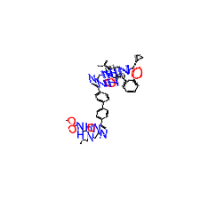 CCCN(Cc1ncc(-c2ccc(-c3ccc(-c4cnc(CN(C(=O)[C@H](NC(=O)C5CC5)c5ccccc5)[C@H](C)C(C)C)[nH]4)cc3)cc2)[nH]1)C(=O)CNC(=O)OC